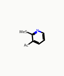 CSc1ncccc1C(C)=O